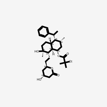 CCC(C)(C)C(=O)O[C@H]1C[C@@H](C)[C@@H](C(C)c2ccccc2)[C@H]2CC[C@](C)(O)[C@@H](CC[C@@H]3C[C@@H](O)CC(=O)O3)[C@@H]21